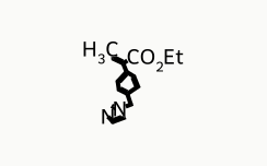 CC=C(C(=O)OCC)c1ccc(Cn2ccnc2)cc1